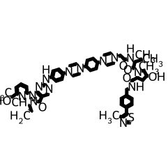 C=CCn1c(=O)c2cnc(Nc3ccc(N4CCN(C5CCC(N6CCN(CC(=O)NC(C(=O)N7CC(O)CC7C(=O)NCc7ccc(-c8scnc8C)cc7)C(C)(C)C)CC6)CC5)CC4)cc3)nc2n1-c1cccc(C(C)(C)O)n1